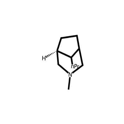 CCCC1C2CC[C@@H]1CN(C)C2